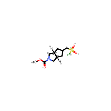 CCCCOC(=O)N1C[C@H]2CC(CS(=O)(=O)Cl)C[C@H]2C1